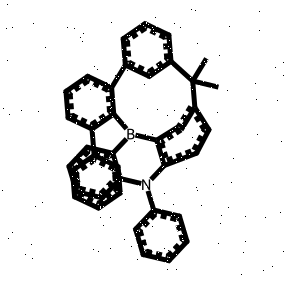 CC1(C)c2cccc(c2)-c2cccc(-c3ccccc3)c2B2c3ccccc3N(c3ccccc3)c3ccc1cc32